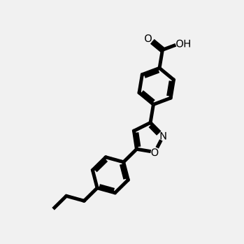 CCCc1ccc(-c2cc(-c3ccc(C(=O)O)cc3)no2)cc1